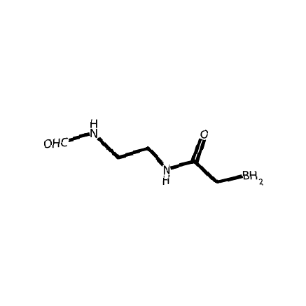 BCC(=O)NCCNC=O